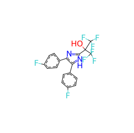 OC(c1nc(-c2ccc(F)cc2)c(-c2ccc(F)cc2)[nH]1)(C(F)(F)F)C(F)(F)F